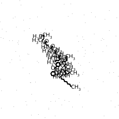 CCCCCCCCC(NC(=O)[C@H]1CCCC[C@H]1NC(=O)c1ccccc1)C(=O)NC(CC(C)C)C(=O)NC(C)(C)C(=O)NC(CC(C)C)C(=O)NC(CC(C)C)C(=O)NC(C)(C)C(=O)NC(C)(C)C(=O)NCCC(=O)NC(C)CN(C)C